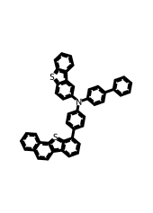 c1ccc(-c2ccc(N(c3ccc(-c4cccc5c4sc4c6ccccc6ccc54)cc3)c3ccc4sc5ccccc5c4c3)cc2)cc1